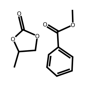 CC1COC(=O)O1.COC(=O)c1ccccc1